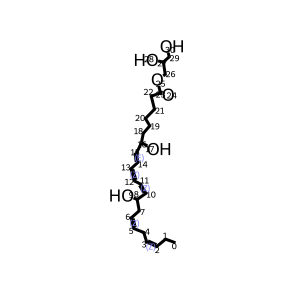 CC/C=C\C/C=C\CC(O)\C=C/C=C\C=C\C(O)CCCCCC(=O)OCC(O)CO